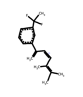 C=C(/C=C\C(C)=C(C)C)c1cccc(C(C)(F)F)c1